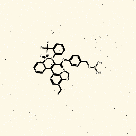 CCc1ccc(C2=C(C(=O)Oc3ccc(CON(O)O)cc3)N(c3ccccc3C(F)(F)F)S(=O)(=O)C3C=CC=CC23)c2c1OCO2